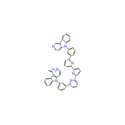 C=Cc1c(/C=C\N)n(-c2cccc(-c3cccc(-c4cccc(-c5cccc(-c6cccc(-n7c8ccccc8c8cnccc87)c6)n5)n4)n3)c2)c2ccccc12